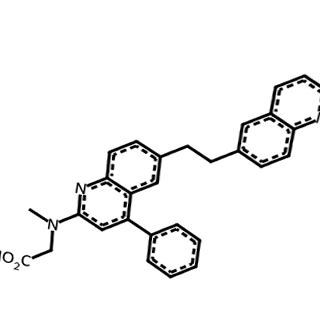 CN(CC(=O)O)c1cc(-c2ccccc2)c2cc(CCc3ccc4ncccc4c3)ccc2n1